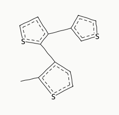 Cc1sccc1-c1sccc1-c1ccsc1